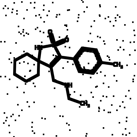 CCNCC1=C(c2ccc(C)cc2)S(=O)(=O)NC12CCCCC2